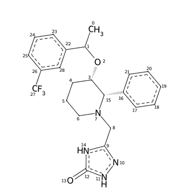 CC(O[C@H]1CCCN(Cc2n[nH]c(=O)[nH]2)[C@H]1c1ccccc1)c1cccc(C(F)(F)F)c1